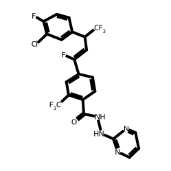 O=C(NNc1ncccn1)c1ccc(C(F)=CC(c2ccc(F)c(Cl)c2)C(F)(F)F)cc1C(F)(F)F